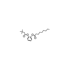 CCCCCCCCC(=O)Oc1ccccc1OC(=O)CC(C)(C)C